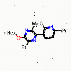 CCCCCCOc1nc(CC)c(-c2ccc(C(C)C)nc2OC)nc1CC